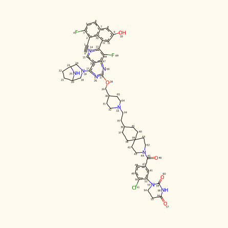 C#Cc1c(F)ccc2cc(O)cc(-c3ncc4c(N5CC6CCC(C5)N6)nc(OCC5CCN(CCC6CCC7(CC6)CCN(C(=O)c6ccc(Cl)c(N8CCC(=O)NC8=O)c6)CC7)CC5)nc4c3F)c12